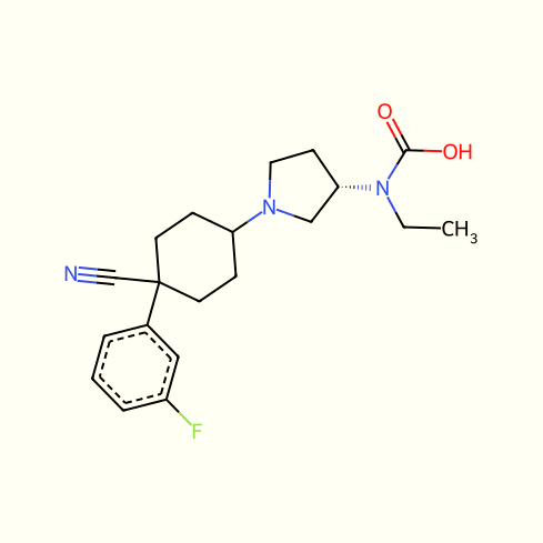 CCN(C(=O)O)[C@H]1CCN(C2CCC(C#N)(c3cccc(F)c3)CC2)C1